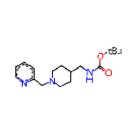 CC(C)(C)OC(=O)NCC1CCN(Cc2ccccn2)CC1